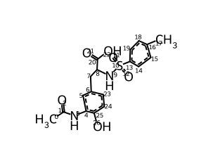 CC(=O)Nc1cc(CC(NS(=O)(=O)c2ccc(C)cc2)C(=O)O)ccc1O